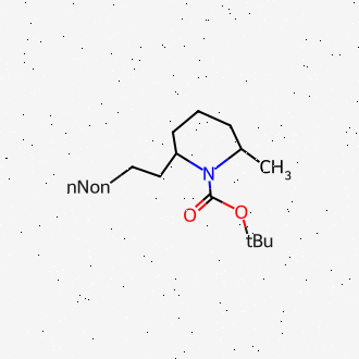 CCCCCCCCCCCC1CCCC(C)N1C(=O)OC(C)(C)C